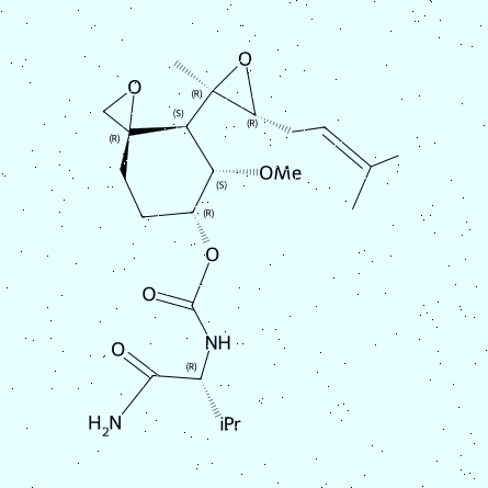 CO[C@@H]1[C@H](OC(=O)N[C@@H](C(N)=O)C(C)C)CC[C@]2(CO2)[C@H]1[C@@]1(C)O[C@@H]1CC=C(C)C